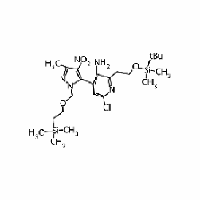 Cc1nn(COCC[Si](C)(C)C)c(-c2cc(Cl)nc(CCO[Si](C)(C)C(C)(C)C)c2N)c1[N+](=O)[O-]